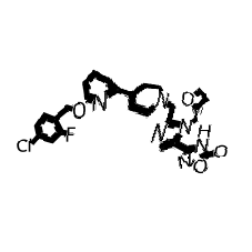 O=c1[nH]c(-c2cnc(CN3CCC(c4cccc(OCc5ccc(Cl)cc5F)n4)CC3)n2C[C@@H]2CCO2)no1